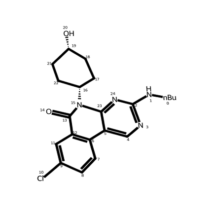 CCCCNc1ncc2c3ccc(Cl)cc3c(=O)n([C@H]3CC[C@@H](O)CC3)c2n1